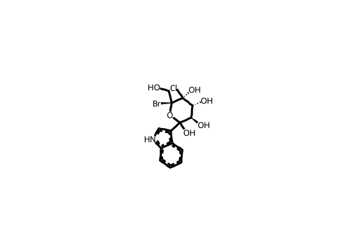 OC[C@@]1(Br)OC(O)(c2c[nH]c3ccccc23)[C@H](O)[C@@H](O)[C@]1(O)Cl